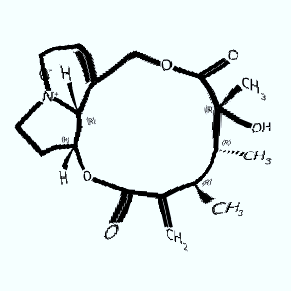 C=C1C(=O)O[C@@H]2CC[N+]3([O-])CC=C(COC(=O)[C@](C)(O)[C@H](C)[C@H]1C)[C@H]23